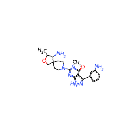 C[C@@H]1OCC2(CCN(c3nc4[nH]nc(-c5cccc(N)c5)c4c(=O)n3C)CC2)[C@@H]1N